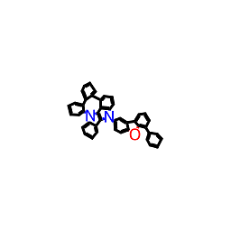 c1ccc(-c2cccc3c2oc2ccc(-n4c5cccc6c7ccccc7c7ccccc7n7c8ccccc8c4c7c65)cc23)cc1